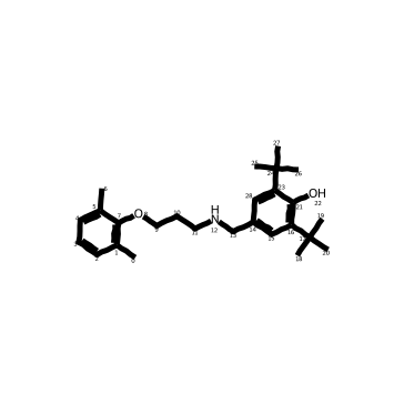 Cc1cccc(C)c1OCCCNCc1cc(C(C)(C)C)c(O)c(C(C)(C)C)c1